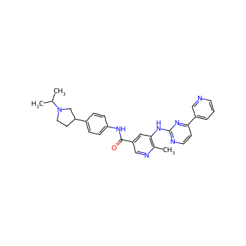 Cc1ncc(C(=O)Nc2ccc(C3CCN(C(C)C)C3)cc2)cc1Nc1nccc(-c2cccnc2)n1